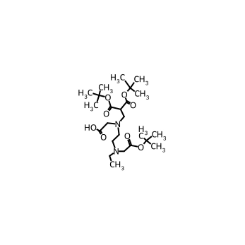 CCN(CCN(CC(=O)O)CC(C(=O)OC(C)(C)C)C(=O)OC(C)(C)C)CC(=O)OC(C)(C)C